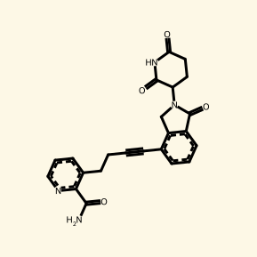 NC(=O)c1ncccc1CCC#Cc1cccc2c1CN(C1CCC(=O)NC1=O)C2=O